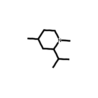 CC1CCN(C)C(C(C)C)C1